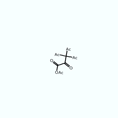 CC(=O)OC(=O)C(=O)C(C(C)=O)(C(C)=O)C(C)=O